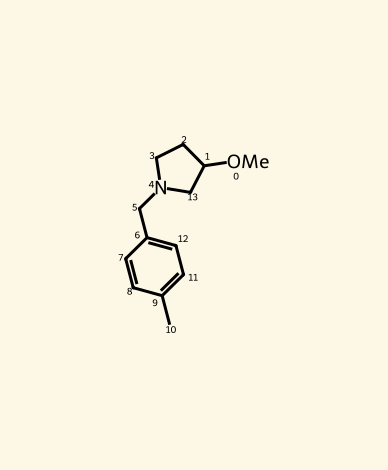 COC1CCN(Cc2ccc(C)cc2)C1